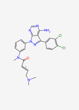 CN(C)C/C=C/C(=O)N(C)c1cccc(-n2nc(-c3ccc(Cl)c(Cl)c3)c3c(N)ncnc32)c1